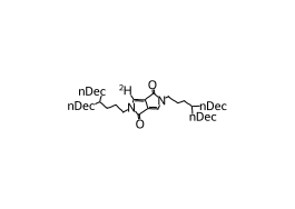 [2H]C1=C2C(=O)N(CCCC(CCCCCCCCCC)CCCCCCCCCC)C=C2C(=O)N1CCCC(CCCCCCCCCC)CCCCCCCCCC